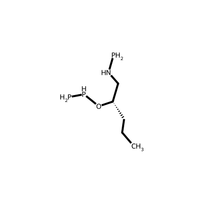 CCC[C@@H](CNP)OPP